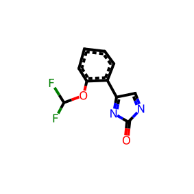 O=C1N=CC(c2ccccc2OC(F)F)=N1